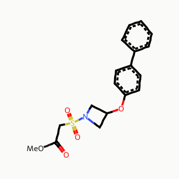 COC(=O)CS(=O)(=O)N1CC(Oc2ccc(-c3ccccc3)cc2)C1